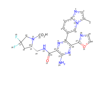 Cc1cnc2ccc(-c3nc(C(=O)NC[C@@H]4CC(F)(F)CN4C(=O)O)c(N)nc3-c3ncco3)cn12